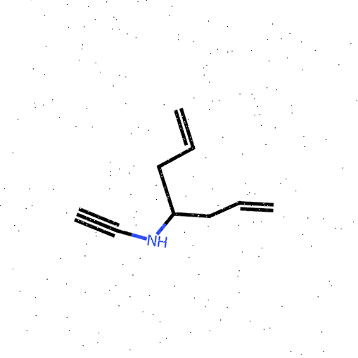 C#CNC(CC=C)CC=C